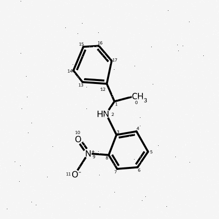 CC(Nc1ccccc1[N+](=O)[O-])c1ccccc1